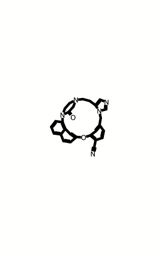 N#Cc1ccc2cc1Oc1ccc3cccc(c3c1)N1CCN(CCc3cncn3C2)CC1=O